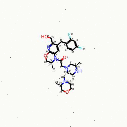 C[C@@H]1CN(CC(=O)N2c3cc(Cc4ccc(F)cc4F)c(CO)nc3OC[C@@H]2C)[C@@H](CN2[C@H](C)COC[C@H]2C)CN1